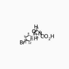 O=C(O)N1C[C@H]2C[C@@H]1[C@H](c1ccc(Br)cc1)O2